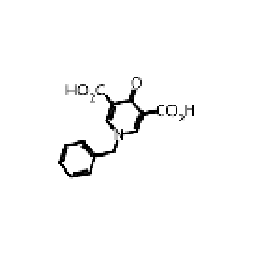 O=C(O)c1cn(Cc2ccccc2)cc(C(=O)O)c1=O